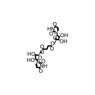 O=C(CCC(=O)OC[C@H]1O[C@@H](n2ccc(=O)[nH]c2=O)[C@H](O)[C@@H]1O)OC[C@H]1O[C@@H](n2ccc(=O)[nH]c2=O)[C@H](O)[C@@H]1O